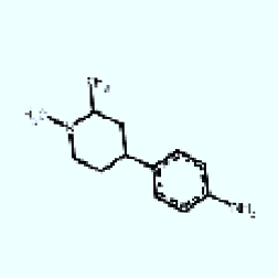 CC1CC(c2ccc(N)cc2)CCN1C